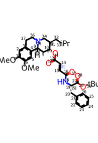 COc1cc2c(cc1OC)[C@H]1C[C@@H](OC(=O)/C=C/C(=O)N[C@@H](Cc3ccccc3)C(=O)OC(C)(C)C)[C@H](CC(C)C)CN1CC2